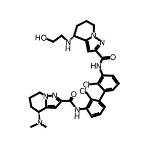 CN(C)[C@H]1CCCn2nc(C(=O)Nc3cccc(-c4cccc(NC(=O)c5cc6n(n5)CCC[C@@H]6NCCO)c4Cl)c3Cl)cc21